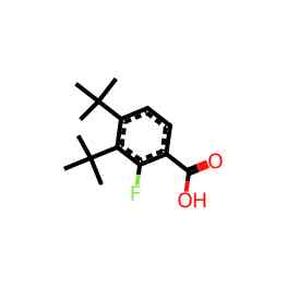 CC(C)(C)c1ccc(C(=O)O)c(F)c1C(C)(C)C